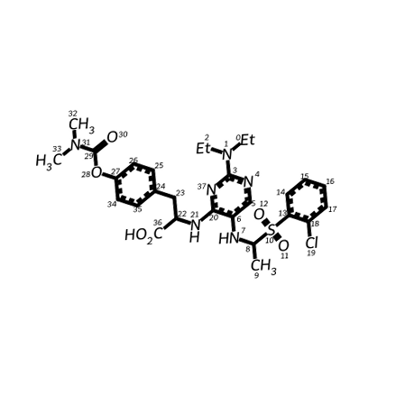 CCN(CC)c1ncc(NC(C)S(=O)(=O)c2ccccc2Cl)c(NC(Cc2ccc(OC(=O)N(C)C)cc2)C(=O)O)n1